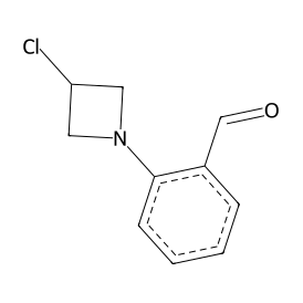 O=Cc1ccccc1N1CC(Cl)C1